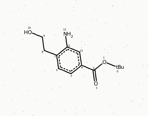 CC(C)(C)OC(=O)c1ccc(CCO)c(N)c1